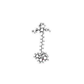 COc1cc(C)c(CCCCCCCCCCCCP(C)(c2ccccc2)(c2ccccc2)c2ccccc2)cc1OC